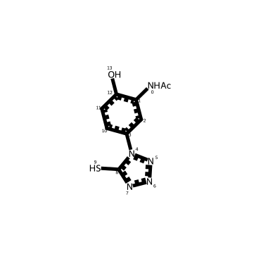 CC(=O)Nc1cc(-n2nnnc2S)ccc1O